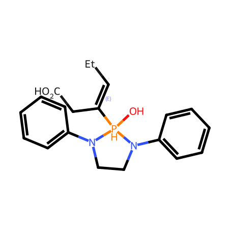 CC/C=C(\CC(=O)O)[PH]1(O)N(c2ccccc2)CCN1c1ccccc1